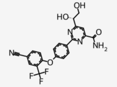 N#Cc1ccc(Oc2ccc(-c3nc(C(N)=O)cc([C@H](O)CO)n3)cc2)c(C(F)(F)F)c1